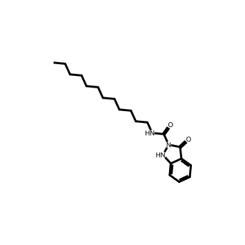 CCCCCCCCCCCCNC(=O)n1[nH]c2ccccc2c1=O